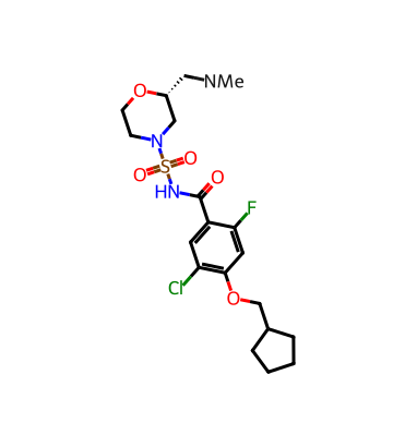 CNC[C@@H]1CN(S(=O)(=O)NC(=O)c2cc(Cl)c(OCC3CCCC3)cc2F)CCO1